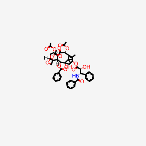 CC(=O)O[C@H]1C(=O)[C@]2(C)[C@@H](OC(C)=O)C[C@H]3OC[C@@]3(OC(C)=O)[C@H]2[C@H](OC(=O)c2ccccc2)[C@]2(O)C[C@H](OC(=O)[C@H](O)[C@@H](NC(=O)c3ccccc3)c3ccccc3)C(C)=C1C2(C)C